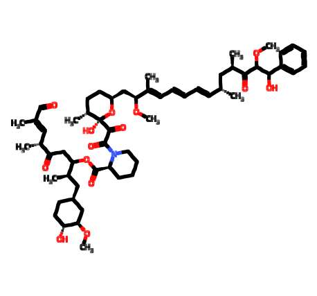 COC(C(=O)[C@H](C)C[C@H](C)/C=C/C=C/C=C(\C)[C@H](C[C@@H]1CC[C@@H](C)[C@](O)(C(=O)C(=O)N2CCCC[C@H]2C(=O)OC(CC(=O)[C@H](C)/C=C(\C)C=O)[C@H](C)C[C@@H]2CC[C@@H](O)[C@H](OC)C2)O1)OC)C(O)c1ccccc1